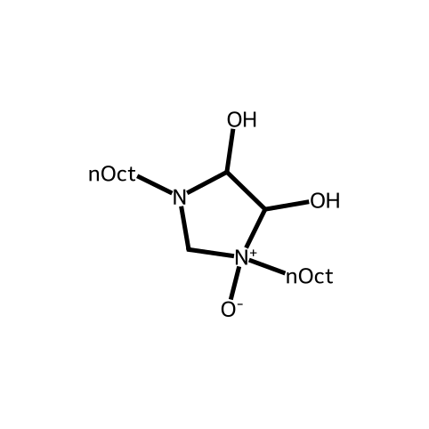 CCCCCCCCN1C[N+]([O-])(CCCCCCCC)C(O)C1O